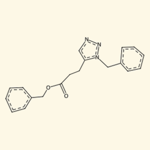 O=C(CCc1cnnn1Cc1ccccc1)OCc1ccccc1